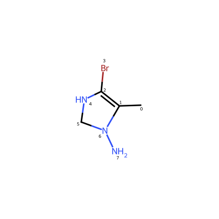 CC1=C(Br)NCN1N